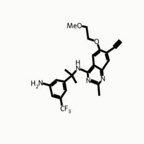 C#Cc1cc2nc(C)nc(NC(C)(C)c3cc(N)cc(C(F)(F)F)c3)c2cc1OCCOC